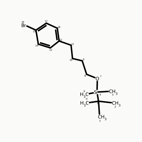 CC(C)(C)[Si](C)(C)OCCCCc1ccc(Br)cc1